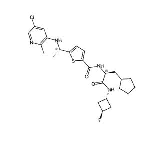 Cc1ncc(Cl)cc1N[C@@H](C)c1ccc(C(=O)N[C@@H](CC2CCCC2)C(=O)N[C@H]2C[C@H](F)C2)s1